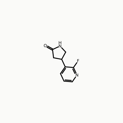 O=C1CC(c2cccnc2F)CN1